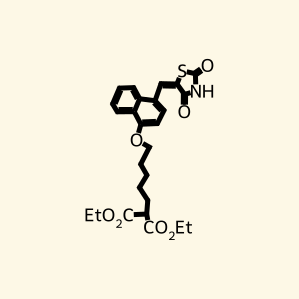 CCOC(=O)C(CCCCCOc1ccc(C=C2SC(=O)NC2=O)c2ccccc12)C(=O)OCC